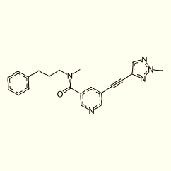 CN(CCCc1ccccc1)C(=O)c1cncc(C#Cc2cnn(C)n2)c1